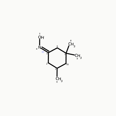 CC1C/C(=N/O)CC(C)(C)C1